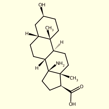 C[C@]12CC[C@H](O)C[C@H]1CC[C@@H]1[C@@H]2CC[C@]2(C)[C@@H](C(=O)O)CC[C@]12N